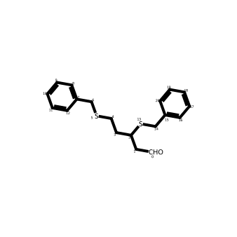 O=CCC(CCSCc1ccccc1)SCc1ccccc1